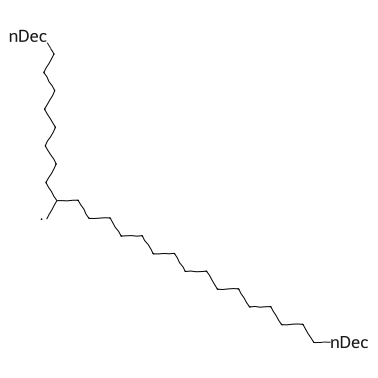 [CH2]C(CCCCCCCCCCCCCCCCCC)CCCCCCCCCCCCCCCCCCCCCCCCCC